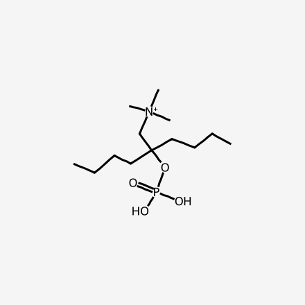 CCCCC(CCCC)(C[N+](C)(C)C)OP(=O)(O)O